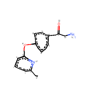 Cc1cccc(Oc2ccc(C(=O)CN)cc2)n1